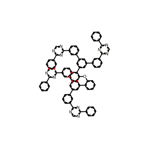 c1ccc(-c2ncnc(-c3cccc(-c4cc(-c5cccc(-c6ncnc(-c7ccccc7)n6)c5)cc(-c5ccccc5Oc5ccccc5-c5cc(-c6cccc(-c7ncnc(-c8ccccc8)n7)c6)cc(-c6cccc(-c7ncnc(-c8ccccc8)n7)c6)c5)c4)c3)n2)cc1